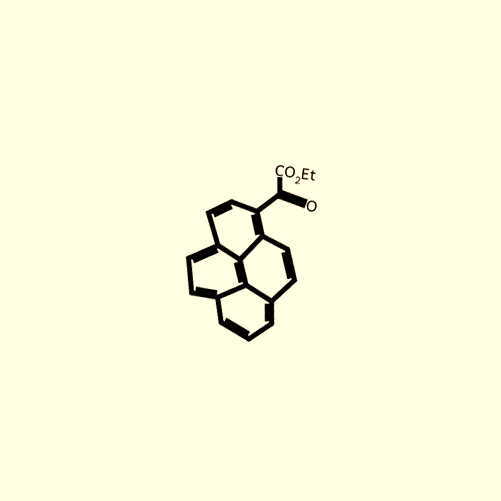 CCOC(=O)C(=O)c1ccc2ccc3cccc4ccc1c2c34